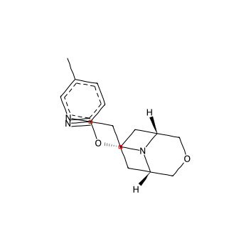 Cc1ccc(O[C@H]2C[C@H]3COC[C@@H](C2)N3CCC#N)nc1